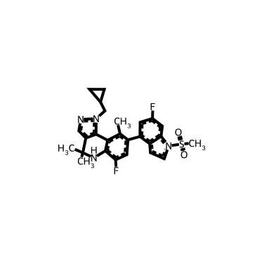 Cc1c(-c2cc(F)cc3c2ccn3S(C)(=O)=O)cc(F)c2c1-c1c(cnn1CC1CC1)C(C)(C)N2